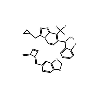 NN(c1ccccc1F)c1ccn2c(CC3CC3)nnc2c1C(F)(F)F.O=C1C=CC1=Cc1ccc2c(c1)OCO2